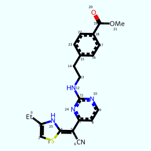 CCC1=CS/C(=C(\C#N)c2ccnc(NCCc3ccc(C(=O)OC)cc3)n2)N1